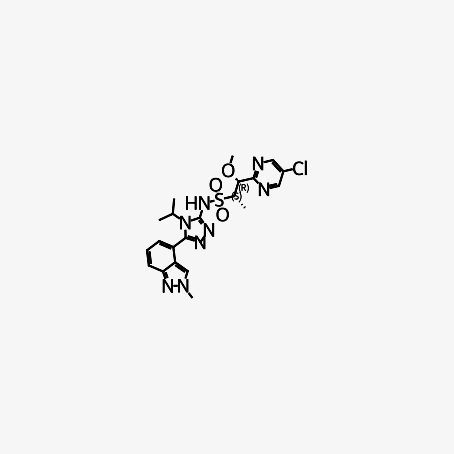 CO[C@H](c1ncc(Cl)cn1)[C@H](C)S(=O)(=O)Nc1nnc(-c2cccc3nn(C)cc23)n1C(C)C